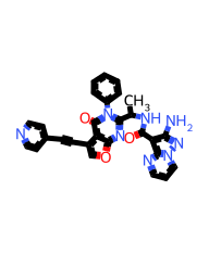 CC(NC(=O)c1c(N)nn2cccnc12)c1nc2occ(C#Cc3ccncc3)c2c(=O)n1-c1ccccc1